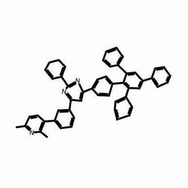 Cc1ccc(-c2cccc(-c3cc(-c4ccc(-c5c(-c6ccccc6)cc(-c6ccccc6)cc5-c5ccccc5)cc4)nc(C4=CCCC=C4)n3)c2)c(C)n1